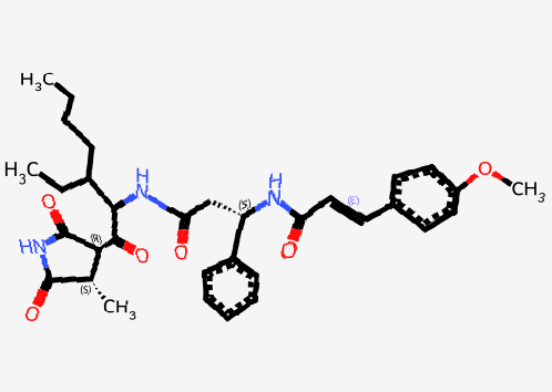 CCCCC(CC)C(NC(=O)C[C@H](NC(=O)/C=C/c1ccc(OC)cc1)c1ccccc1)C(=O)[C@@H]1C(=O)NC(=O)[C@H]1C